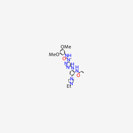 C=CC(=O)Nc1cc(N2CCN(CC)CC2)ccc1Nc1cc(N(C)C(=O)Nc2cc(OC)cc(OC)c2)ncn1